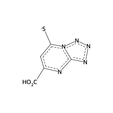 O=C(O)c1cc([S])n2nnnc2n1